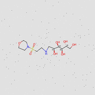 O=S(=O)(CCNC[C@H](O)[C@@H](O)[C@H](O)[C@H](O)CO)N1CCOCC1